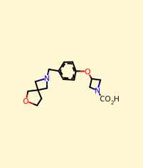 O=C(O)N1CC(Oc2ccc(CN3CC4(CCOC4)C3)cc2)C1